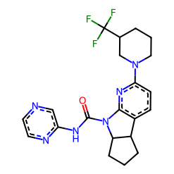 O=C(Nc1cnccn1)N1c2nc(N3CCCC(C(F)(F)F)C3)ccc2C2CCCC21